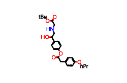 CCCOc1ccc(CC(=O)Oc2ccc(C(O)CNCC(=O)OC(C)(C)C)cc2)cc1